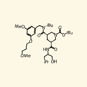 CC[C@@H](C)N(Cc1cc(OC)cc(OCCCOC)c1)C(=O)[C@@H]1C[C@H](C(=O)NC(CO)CC(C)C)CN(C(=O)OC(C)(C)C)C1